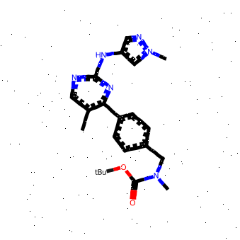 Cc1cnc(Nc2cnn(C)c2)nc1-c1ccc(CN(C)C(=O)OC(C)(C)C)cc1